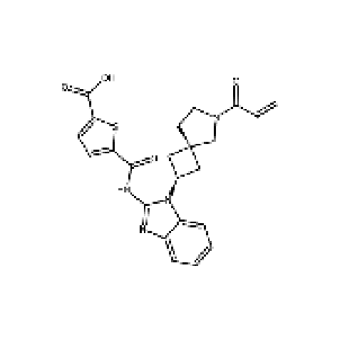 C=CC(=O)N1CC[C@]2(C1)C[C@H](n1c(NC(=O)c3ccc(C(=O)O)s3)nc3ccccc31)C2